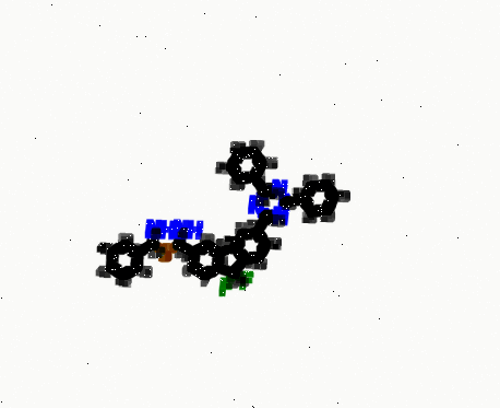 N=C(SC(=N)c1ccc2c(c1)-c1cc(-c3nc(-c4ccccc4)nc(-c4ccccc4)n3)ccc1C2(F)F)c1ccccc1